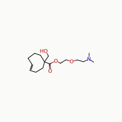 CN(C)CCOCCOC(=O)C1(CO)CC/C=C/CCC1